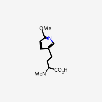 CN[C@@H](CCc1ccc(OC)nc1)C(=O)O